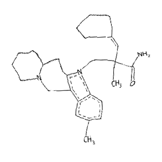 Cc1ccc2c(c1)c1c(n2CC(C)(C=C2CCCC2)C(N)=O)CC2CCCCN2C1